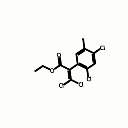 CCOC(=O)C(=C(Cl)Cl)c1cc(C)c(Cl)cc1Cl